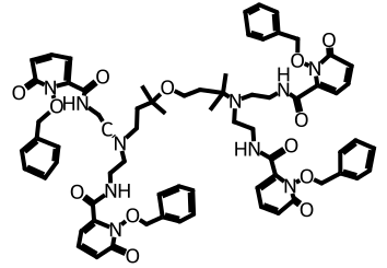 CC(C)(CCN(CCNC(=O)c1cccc(=O)n1OCc1ccccc1)CCNC(=O)c1cccc(=O)n1OCc1ccccc1)OCCC(C)(C)N(CCNC(=O)c1cccc(=O)n1OCc1ccccc1)CCNC(=O)c1cccc(=O)n1OCc1ccccc1